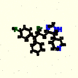 Fc1ccc(C(c2ccccc2)C(Br)Cc2nc[nH]c2-c2ccncc2)cc1